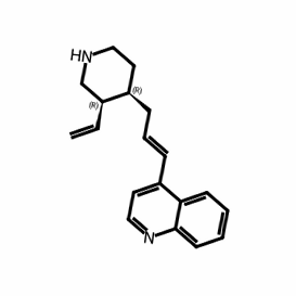 C=C[C@H]1CNCC[C@H]1CC=Cc1ccnc2ccccc12